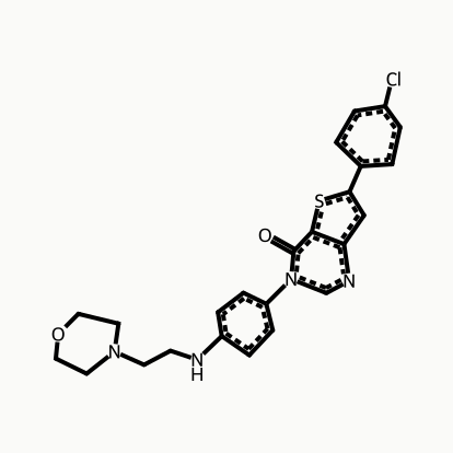 O=c1c2sc(-c3ccc(Cl)cc3)cc2ncn1-c1ccc(NCCN2CCOCC2)cc1